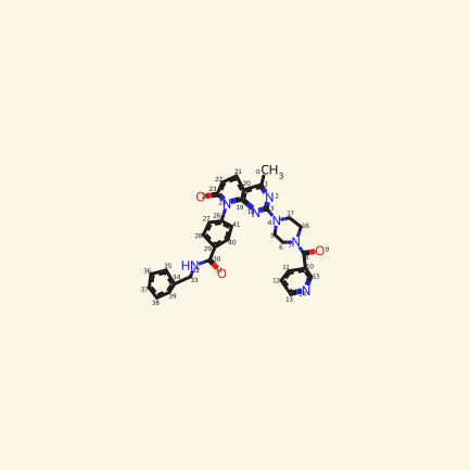 Cc1nc(N2CCN(C(=O)c3cccnc3)CC2)nc2c1ccc(=O)n2-c1ccc(C(=O)NCc2ccccc2)cc1